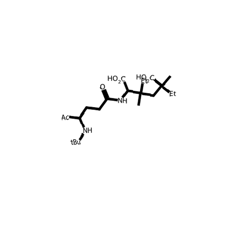 CCC(C)(CC(C)(CC)C(NC(=O)CCC(NC(C)(C)C)C(C)=O)C(=O)O)C(=O)O